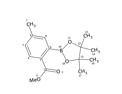 COC(=O)c1ccc(C)cc1B1OC(C)(C)C(C)(C)O1